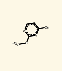 O=S(=O)(O)Oc1nccc(O)n1